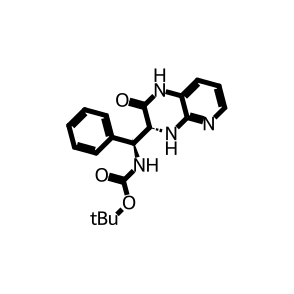 CC(C)(C)OC(=O)N[C@@H](c1ccccc1)[C@H]1Nc2ncccc2NC1=O